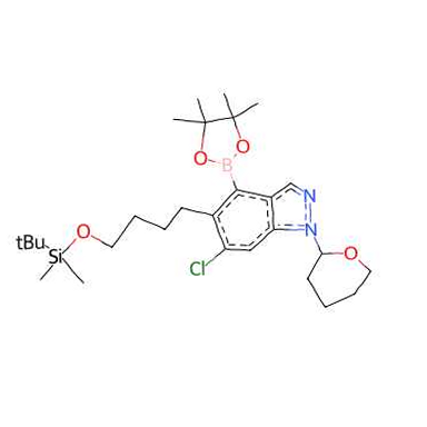 CC1(C)OB(c2c(CCCCO[Si](C)(C)C(C)(C)C)c(Cl)cc3c2cnn3C2CCCCO2)OC1(C)C